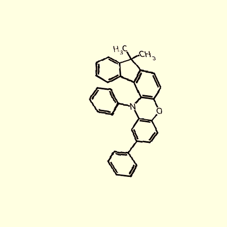 CC1(C)c2ccccc2-c2c1ccc1c2N(c2ccccc2)c2cc(-c3ccccc3)ccc2O1